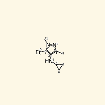 CCc1c(NC2CC2)c(C)nn1C